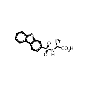 CC(C)[C@H](NS(=O)(=O)c1ccc2c(c1)sc1c[c]ccc12)C(=O)O